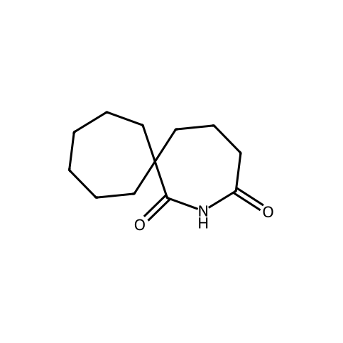 O=C1CCCC2(CCCCCC2)C(=O)N1